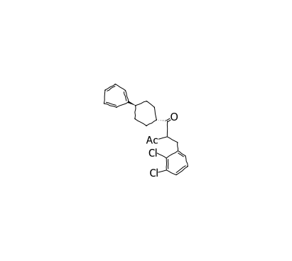 CC(=O)C(Cc1cccc(Cl)c1Cl)C(=O)[C@H]1CC[C@H](c2ccccc2)CC1